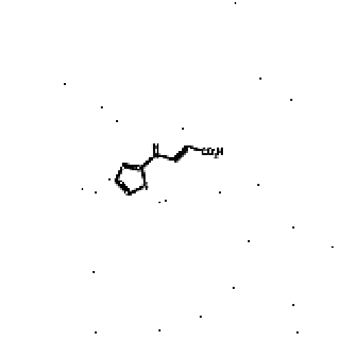 O=C(O)C=CNc1cccs1